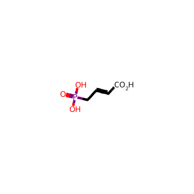 O=C(O)C=CCP(=O)(O)O